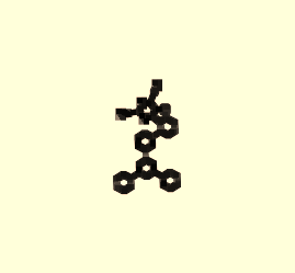 N#Cc1nc(C#N)c2oc3cccc(-c4cccc(-c5cc(-c6ccccc6)cc(-c6ccccc6)c5)c4)c3c2n1